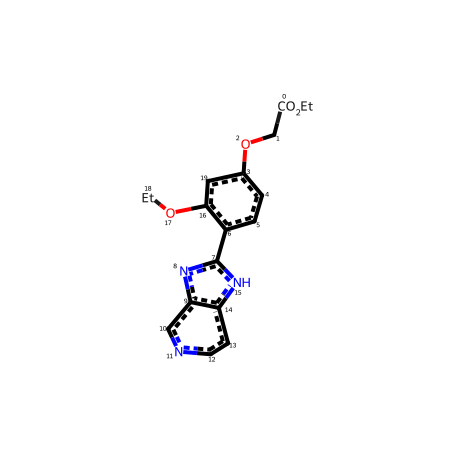 CCOC(=O)COc1ccc(-c2nc3cnccc3[nH]2)c(OCC)c1